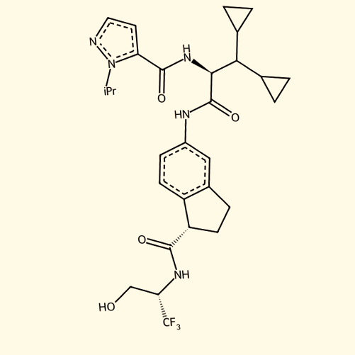 CC(C)n1nccc1C(=O)N[C@H](C(=O)Nc1ccc2c(c1)CC[C@@H]2C(=O)N[C@@H](CO)C(F)(F)F)C(C1CC1)C1CC1